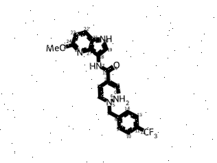 C/C=C(\C=C/N(N)Cc1ccc(C(F)(F)F)cc1)C(=O)Nc1c[nH]c2ccc(OC)nc12